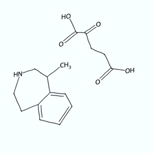 CC1CNCCc2ccccc21.O=C(O)CCC(=O)C(=O)O